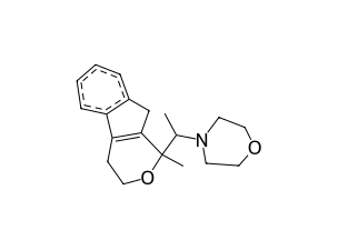 CC(N1CCOCC1)C1(C)OCCC2=C1Cc1ccccc12